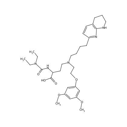 CCN(CC)C(=O)NC(CCN(CCCCc1ccc2c(n1)NCCC2)CCOc1cc(OC)cc(OC)c1)C(=O)O